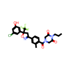 CCCN1C(=O)CN(C(=O)c2ccc(C3=NOC(c4cc(O)cc(Cl)c4)(C(F)(F)F)C3)cc2C)CC1=O